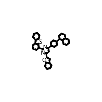 c1ccc2oc(-c3cc(-c4ccc(-c5cccc6ccccc56)cc4)nc(-c4cccc5c4sc4ccccc45)n3)cc2c1